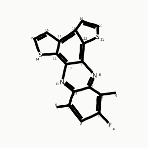 Cc1cc(F)c(C)c2nc3c(nc12)c1sccc1c1ccsc13